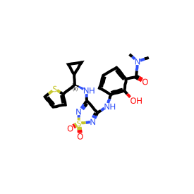 CN(C)C(=O)c1cccc(NC2=NS(=O)(=O)N=C2N[C@@H](c2cccs2)C2CC2)c1O